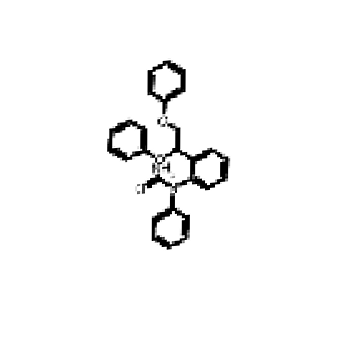 NC(=O)N(c1ccccc1)c1ccccc1C(COc1ccccc1)Oc1ccccc1